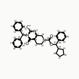 Cc1nc2c(c(=O)n1C(c1ccccc1)c1ccccc1)CCN(C(=O)OC(c1ccccc1)C1CCCC1)C2